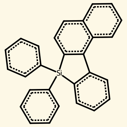 c1ccc([Si]2(c3ccccc3)c3ccccc3-c3c2ccc2ccccc32)cc1